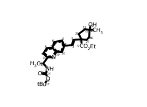 CCOC(=O)C1(/C=C/c2ccc3ccc([C@@H](C)NC(=O)OC(C)(C)C)nc3c2)CCC(C)(O)CC1